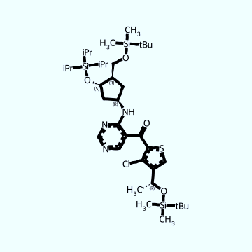 CC(C)[Si](O[C@H]1C[C@H](Nc2ncncc2C(=O)c2scc([C@@H](C)O[Si](C)(C)C(C)(C)C)c2Cl)C[C@@H]1CO[Si](C)(C)C(C)(C)C)(C(C)C)C(C)C